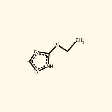 CCSc1n[c]n[nH]1